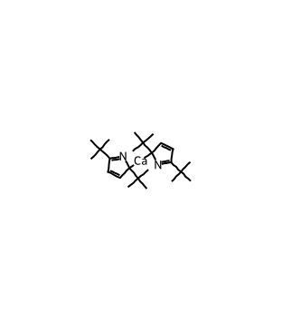 CC(C)(C)C1=N[C]([Ca][C]2(C(C)(C)C)C=CC(C(C)(C)C)=N2)(C(C)(C)C)C=C1